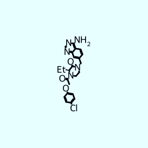 CC[C@H]1C(=O)N(Cc2ccc3c(N)ncnc3c2)CCN1C(=O)COc1ccc(Cl)cc1